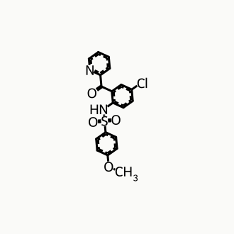 COc1ccc(S(=O)(=O)Nc2ccc(Cl)cc2C(=O)c2ccccn2)cc1